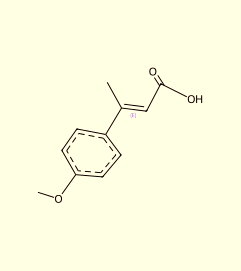 COc1ccc(/C(C)=C/C(=O)O)cc1